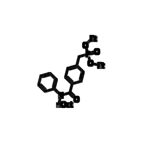 CCCCCCCCN(C(=O)c1ccc(CP(=O)(OCC)OCC)cc1)c1ccccc1